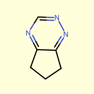 c1nnc2c(n1)CCC2